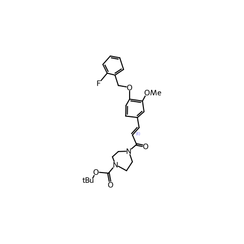 COc1cc(/C=C/C(=O)N2CCN(C(=O)OC(C)(C)C)CC2)ccc1OCc1ccccc1F